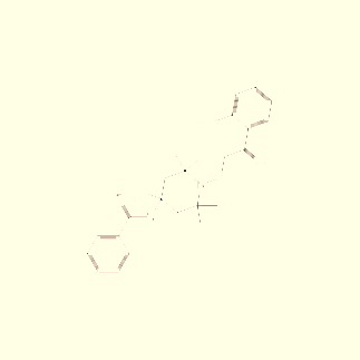 CCOC(=O)C1(NC(=O)c2ccccc2)CC(C)(C)N(OCC(=O)c2ccccc2O)C(C)(C)C1